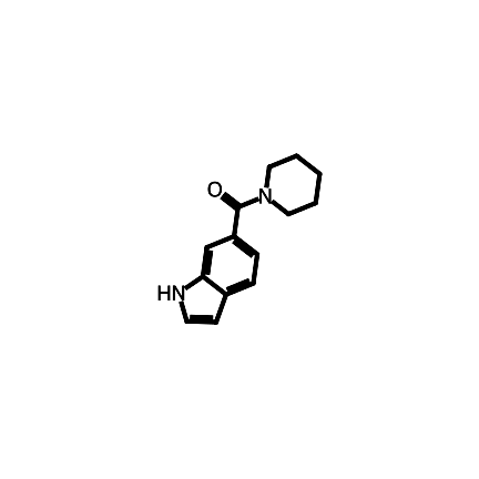 O=C(c1ccc2cc[nH]c2c1)N1CCCCC1